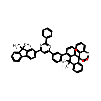 CC1(C)c2ccccc2-c2ccc(-c3cc(-c4cccc(-c5cccc6c5C(C)(C)c5ccccc5C65c6ccccc6Sc6ccccc65)c4)nc(-c4ccccc4)n3)cc21